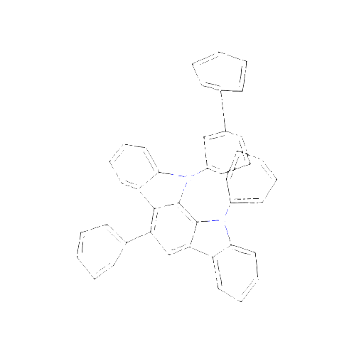 c1ccc(-c2cccc(-n3c4ccccc4c4c(-c5ccccc5)cc5c6ccccc6n(-c6ccccc6)c5c43)c2)cc1